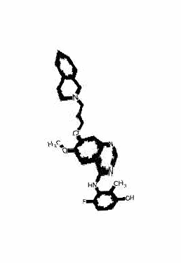 COc1cc2c(Nc3c(F)ccc(O)c3C)ncnc2cc1OCCCN1CCc2ccccc2C1